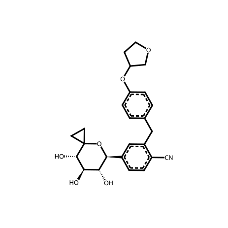 N#Cc1ccc([C@@H]2OC3(CC3)[C@@H](O)[C@H](O)[C@H]2O)cc1Cc1ccc(OC2CCOC2)cc1